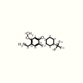 COc1cc(O[C@H]2CC[C@H](C(F)(F)F)CC2)c(F)cc1CN